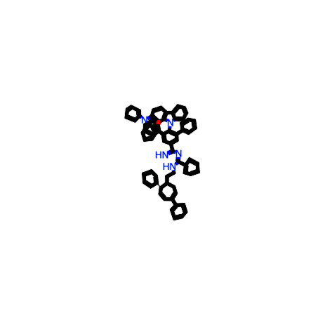 N=C(/N=C(\NCCC1CC=C(c2ccccc2)C=C[C@@H]1c1ccccc1)c1ccccc1)c1cc(-c2ccccc2)c(-n2c3ccccc3c3ccc4c(c5ccccc5n4-c4ccccc4)c32)c(-c2ccccc2)c1